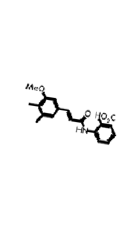 COc1cc(/C=C/C(=O)Nc2ccccc2C(=O)O)cc(C)c1C